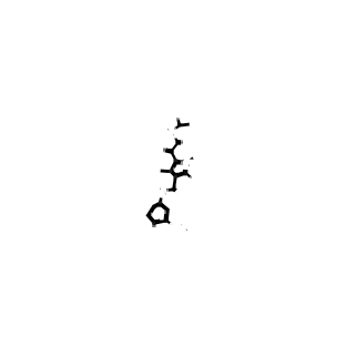 Cc1c(C(=O)Nc2ccc(F)c(C#N)c2)c(F)n(C)c1C(=O)C(=O)NC(C)C(F)(F)F